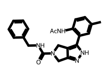 CC(=O)Nc1ccc(C)cc1-c1[nH]nc2c1CN(C(=O)NCc1ccccc1)C2